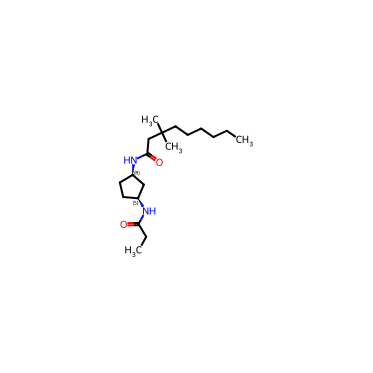 CCCCCCC(C)(C)CC(=O)N[C@@H]1CC[C@H](NC(=O)CC)C1